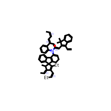 C=CC1=C(/C=C(\C)N(C2=CCCC3=C2c2ccccc2C32C(CC)=C(/C=C\CC)/C(=C/C)C2C)c2ccccc2/C(C=C)=C/C=C\C)C(C)(C)c2ccccc21